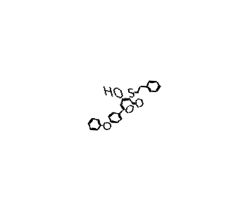 O=c1oc(-c2ccc(Oc3ccccc3)cc2)cc(O)c1SCCc1ccccc1